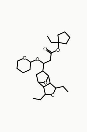 CCC1OC(CC)C2C3OC(CC3C(CC(=O)OC3(CC)CCCC3)OC3CCCCO3)C12